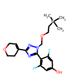 C[Si](C)(C)CCOCn1nc(C2=CCOCC2)nc1-c1c(F)cc(O)cc1F